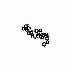 CN1C(=O)[C@H](NC(=O)c2cc(Oc3ccccc3)ccn2)COc2ccc(C#CC3(O)CN(C(=O)C(F)(F)F)C3)cc21